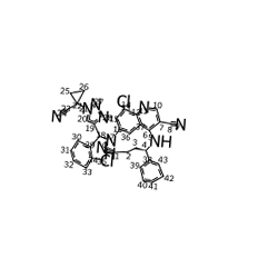 N#CCC[C@@H](Nc1c(C#N)cnc2c(Cl)cc(N[C@H](c3cn(C4(C#N)CC4)nn3)c3ccccc3Cl)cc12)c1ccccc1